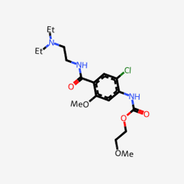 CCN(CC)CCNC(=O)c1cc(Cl)c(NC(=O)OCCOC)cc1OC